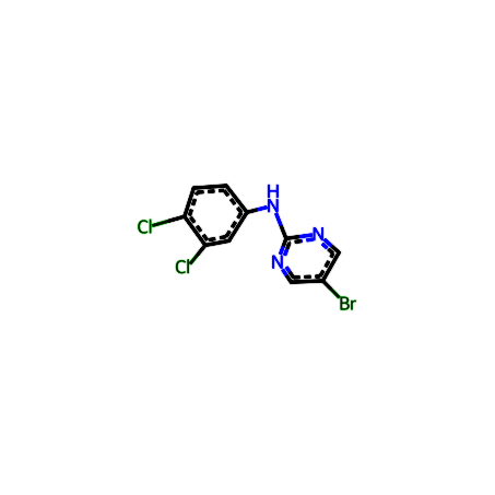 Clc1ccc(Nc2ncc(Br)cn2)cc1Cl